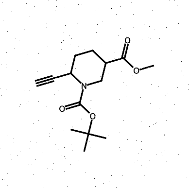 C#CC1CCC(C(=O)OC)CN1C(=O)OC(C)(C)C